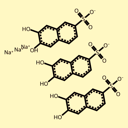 O=S(=O)([O-])c1ccc2cc(O)c(O)cc2c1.O=S(=O)([O-])c1ccc2cc(O)c(O)cc2c1.O=S(=O)([O-])c1ccc2cc(O)c(O)cc2c1.[Na+].[Na+].[Na+]